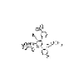 COCOc1cc(Cl)ccc1-c1cc(-c2cccc([N+](=O)[O-])c2)c(C#N)c(NC(=O)c2ccno2)n1